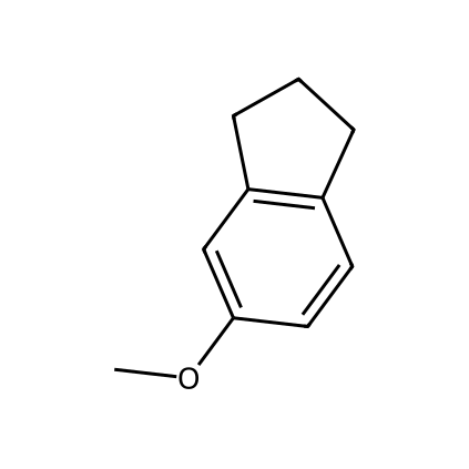 COc1ccc2c(c1)CCC2